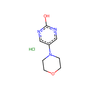 Cl.Oc1ncc(N2CCOCC2)cn1